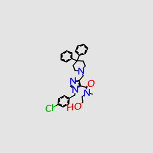 CN(CCO)C(=O)c1c(CN2CCC(c3ccccc3)(c3ccccc3)CC2)ncn1Cc1ccc(Cl)cc1